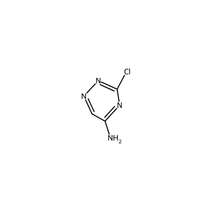 Nc1cnnc(Cl)n1